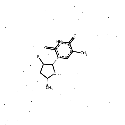 Cc1cn([C@@H]2O[C@H](C)CC2F)c(=O)[nH]c1=O